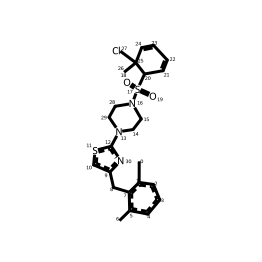 Cc1cccc(C)c1Cc1csc(N2CCN(S(=O)(=O)C3C=CC=CC3(C)Cl)CC2)n1